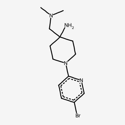 CN(C)CC1(N)CCN(c2ccc(Br)cn2)CC1